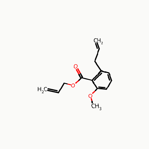 C=CCOC(=O)c1c(CC=C)cccc1OC